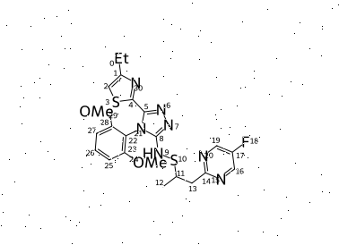 CCc1csc(-c2nnc(NSC(C)Cc3ncc(F)cn3)n2-c2c(OC)cccc2OC)n1